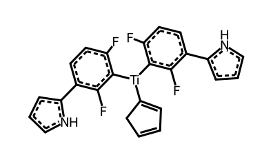 Fc1ccc(-c2ccc[nH]2)c(F)[c]1[Ti]([C]1=CC=CC1)[c]1c(F)ccc(-c2ccc[nH]2)c1F